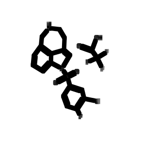 O=C(O)C(F)(F)F.O=S(=O)(c1ccc(F)c(Cl)c1)n1cc2c3c(cccc31)CNCC2